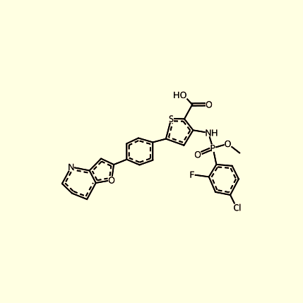 COP(=O)(Nc1cc(-c2ccc(-c3cc4ncccc4o3)cc2)sc1C(=O)O)c1ccc(Cl)cc1F